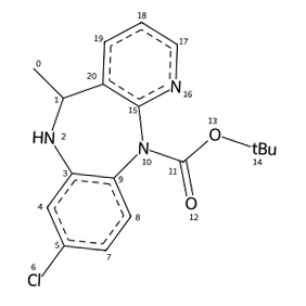 CC1Nc2cc(Cl)ccc2N(C(=O)OC(C)(C)C)c2ncccc21